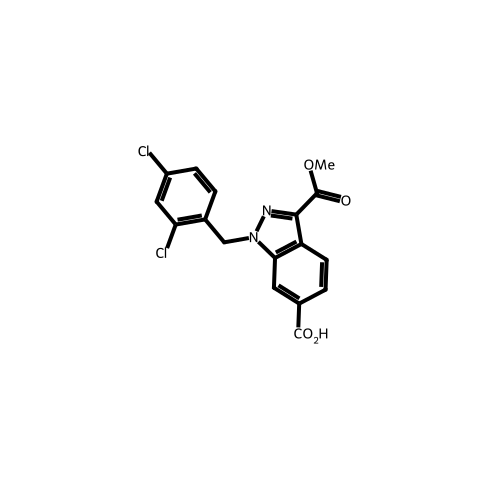 COC(=O)c1nn(Cc2ccc(Cl)cc2Cl)c2cc(C(=O)O)ccc12